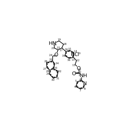 Cl.O=C(Nc1ccccn1)OCCc1ccc(C2CCNCC2OCc2ccc3ccccc3c2)cc1